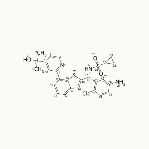 CC(C)(O)c1ccnc(-c2cccc3cc([C@H](NS(=O)(=O)C4CC4)c4cc(N)ccc4Cl)sc23)c1